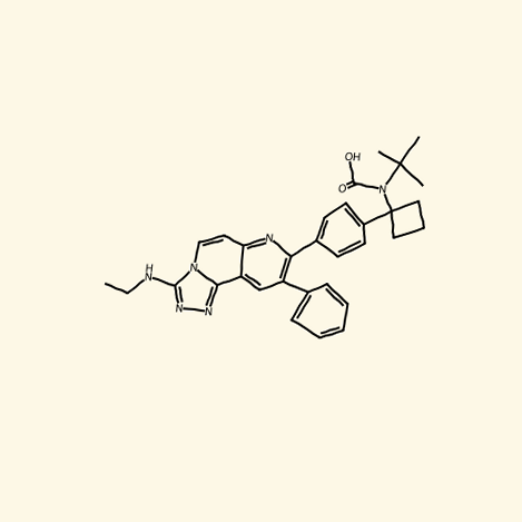 CCNc1nnc2c3cc(-c4ccccc4)c(-c4ccc(C5(N(C(=O)O)C(C)(C)C)CCC5)cc4)nc3ccn12